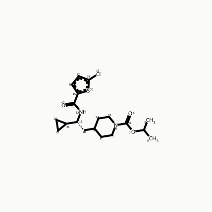 CC(C)OC(=O)N1CCC(C[C@@H](NC(=O)c2ccc(Cl)s2)C2CC2)CC1